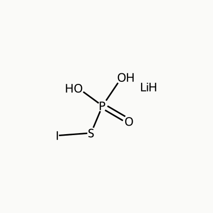 O=P(O)(O)SI.[LiH]